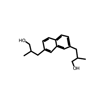 CC(CO)Cc1ccc2ccc(CC(C)CO)cc2c1